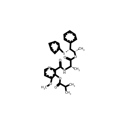 COc1ccnc(C(=O)N[C@@H](C)C(=O)O[C@@H](C)[C@H](Sc2ccccc2)c2ccccc2)c1OC(=O)C(C)C